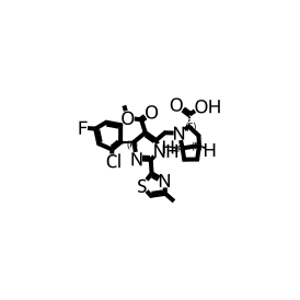 COC(=O)C1=C(CN2[C@@H]3CC[C@@H]3C[C@H]2C(=O)O)NC(c2nc(C)cs2)=N[C@H]1c1ccc(F)cc1Cl